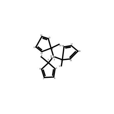 C[C]1([La]([C]2(C)C=CC=C2)[C]2(C)C=CC=C2)C=CC=C1